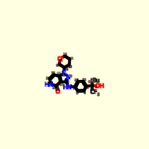 CC(C)(C)C(O)(c1ccc(Nc2nn(C3CCCOC3)c3cc[nH]c(=O)c23)cc1)C(F)(F)F